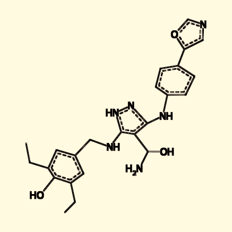 CCc1cc(CNc2[nH]nc(Nc3ccc(-c4cnco4)cc3)c2C(N)O)cc(CC)c1O